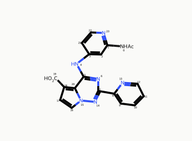 CC(=O)Nc1cc(Nc2nc(-c3ccccn3)nn3ccc(C(=O)O)c23)ccn1